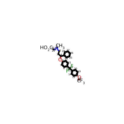 CN(CCC(Oc1ccc(C(F)(F)c2ccc(OC(F)(F)F)cc2)cc1)c1ccccc1)CC(=O)O